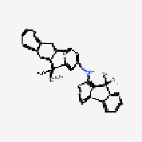 CC1(C)c2cc(Nc3cccc4c3C(C)(C)c3ccccc3-4)ccc2-c2cc3ccccc3cc21